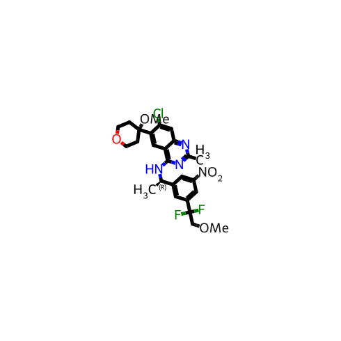 COCC(F)(F)c1cc([C@@H](C)Nc2nc(C)nc3cc(Cl)c(C4(OC)CCOCC4)cc23)cc([N+](=O)[O-])c1